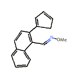 CON=Cc1c(C2=CC=CC2)ccc2ccccc12